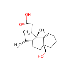 C=C(C)[C@@H]1CC[C@@]2(CO)CCCC=C2[C@@]1(C)CCC(=O)O